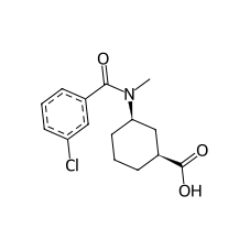 CN(C(=O)c1cccc(Cl)c1)[C@@H]1CCC[C@H](C(=O)O)C1